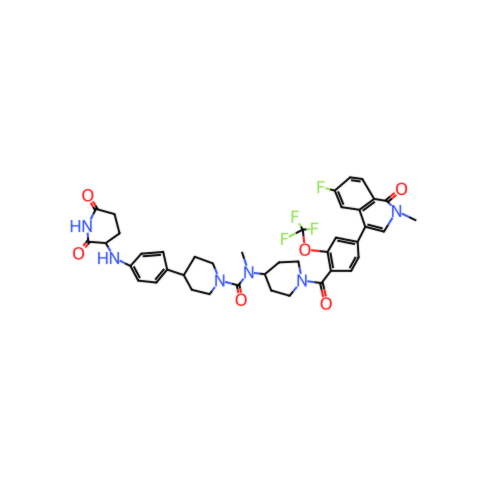 CN(C(=O)N1CCC(c2ccc(NC3CCC(=O)NC3=O)cc2)CC1)C1CCN(C(=O)c2ccc(-c3cn(C)c(=O)c4ccc(F)cc34)cc2OC(F)(F)F)CC1